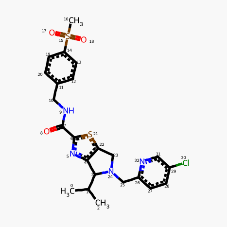 CC(C)C1c2nc(C(=O)NCc3ccc(S(C)(=O)=O)cc3)sc2CN1Cc1ccc(Cl)cn1